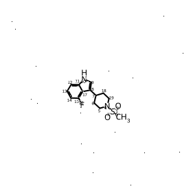 CS(=O)(=O)N1CCC(c2c[nH]c3cccc(F)c23)CC1